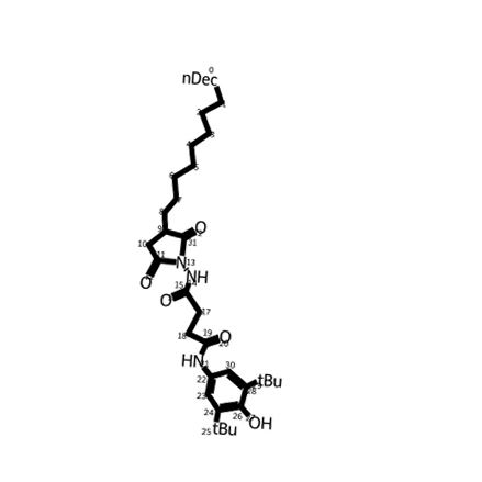 CCCCCCCCCCCCCCCCCCC1CC(=O)N(NC(=O)CCC(=O)Nc2cc(C(C)(C)C)c(O)c(C(C)(C)C)c2)C1=O